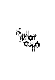 Cc1ccnc(NC(=O)CN2CCC(Nc3nc(Nc4cccc(C(F)(F)F)c4)nc(OCC(F)(F)F)n3)CC2)c1